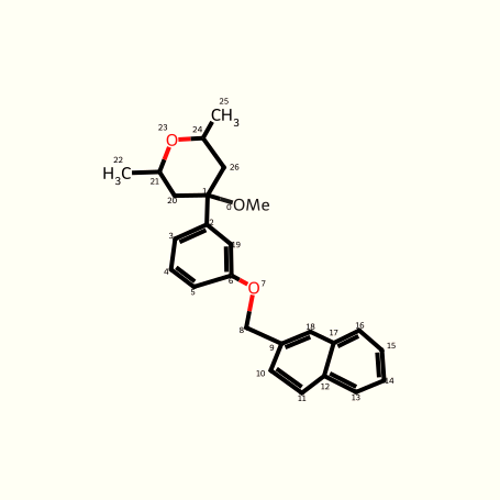 COC1(c2cccc(OCc3ccc4ccccc4c3)c2)CC(C)OC(C)C1